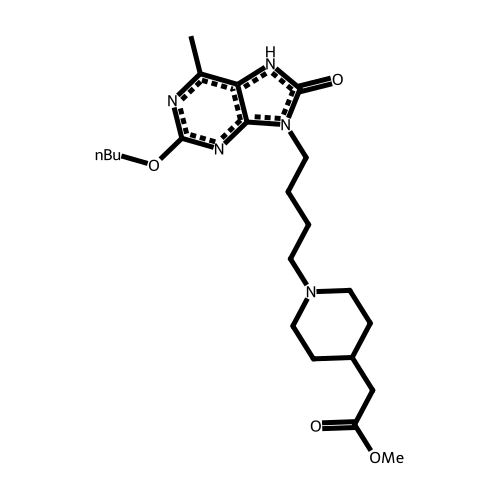 CCCCOc1nc(C)c2[nH]c(=O)n(CCCCN3CCC(CC(=O)OC)CC3)c2n1